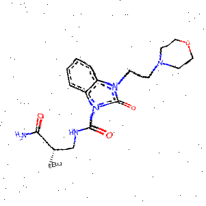 CC(C)(C)[C@@H](CNC(=O)n1c(=O)n(CCN2CCOCC2)c2ccccc21)C(N)=O